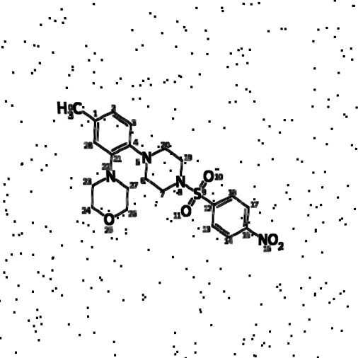 Cc1ccc(N2CCN(S(=O)(=O)c3ccc([N+](=O)[O-])cc3)CC2)c(N2CCOCC2)c1